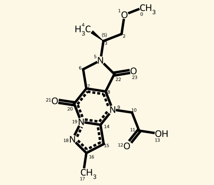 COC[C@H](C)N1Cc2c(n(CC(=O)O)c3cc(C)nn3c2=O)C1=O